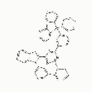 c1ccc(-c2ccccc2-c2nc(-c3cccc(C4(c5ccccc5)c5ccccc5-c5ccccc54)c3)nc(-c3cc4ccccc4s3)n2)cc1